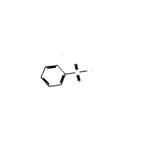 O=S(=O)(O)c1ccccc1.[Fe]